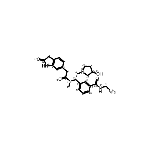 CN(C(=O)Cc1ccc2c(c1)NC(=O)C2)[C@H](CN1CCC(O)C1)c1cccc(C(=O)NCC(F)(F)F)c1